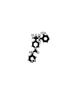 Cc1ccccc1S(=O)(=O)C(C)(F)C1CCN(C(=O)Nc2ccnnc2)CC1